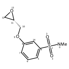 CNS(=O)(=O)c1cccc(OC[C@@H]2CO2)c1